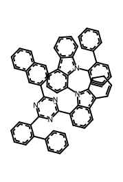 c1ccc(-c2ccccc2)c(-n2c3ccccc3c3cccc(-n4c5c(c6cccc(-c7nc(-c8ccc9ccccc9c8)nc(-c8ccccc8-c8ccccc8)n7)c64)C=CCC5)c32)c#1